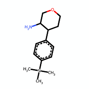 C[Si](C)(C)c1ccc(C2CCOCC2N)cc1